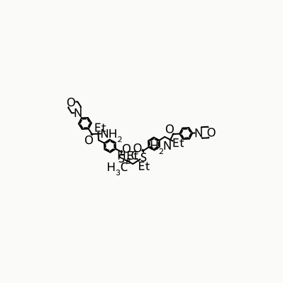 CCC(C)(CC(C)(CC)SC(=O)c1ccc(CC(N)(CC)C(=O)c2ccc(N3CCOCC3)cc2)cc1)SC(=O)c1ccc(CC(N)(CC)C(=O)c2ccc(N3CCOCC3)cc2)cc1